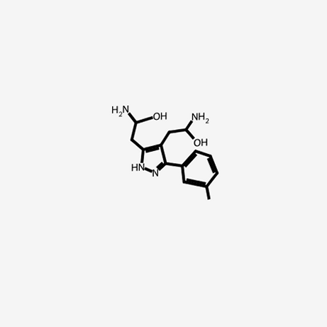 Cc1cccc(-c2n[nH]c(CC(N)O)c2CC(N)O)c1